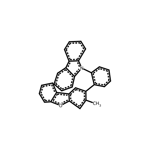 Cc1cc2oc3ccccc3c2cc1-c1ccccc1-n1c2ccccc2c2ccccc21